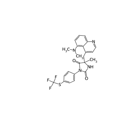 CN(C)c1cccc2nccc(CC3(C)NC(=O)N(c4ccc(SC(F)(F)F)cc4)C3=O)c12